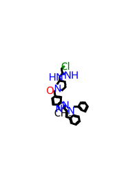 Cn1c(-c2cc3ccccc3n2Cc2ccccc2)nc2cc(C(=O)N3CCCC(NC(=N)CCl)C3)ccc21